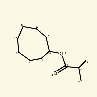 CC(C)C(=O)OC1CCCCCCC1